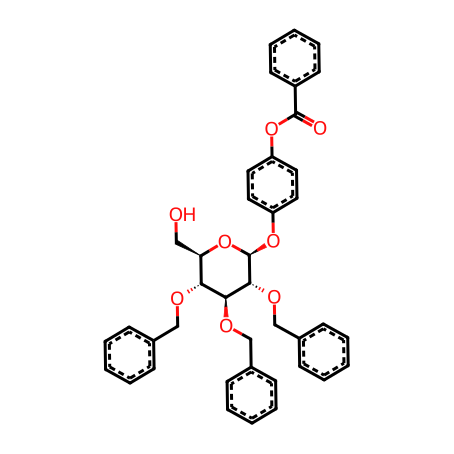 O=C(Oc1ccc(O[C@@H]2O[C@H](CO)[C@@H](OCc3ccccc3)[C@H](OCc3ccccc3)[C@H]2OCc2ccccc2)cc1)c1ccccc1